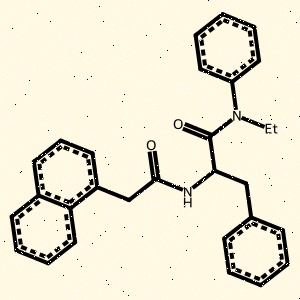 CCN(C(=O)C(Cc1ccccc1)NC(=O)Cc1cccc2ccccc12)c1ccccc1